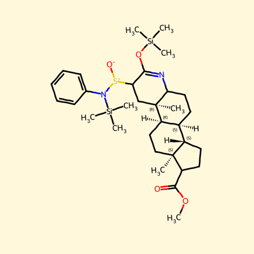 COC(=O)C1CC[C@H]2[C@@H]3CCC4N=C(O[Si](C)(C)C)C([S+]([O-])N(c5ccccc5)[Si](C)(C)C)C[C@]4(C)[C@@H]3CC[C@]12C